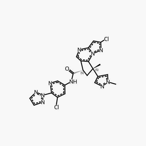 Cn1cc([C@]2(C)C[C@H](C(=O)Nc3cnc(-n4nccn4)c(Cl)c3)c3cnc4cc(Cl)nn4c32)cn1